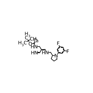 CC(C)(C)OC(=O)NC/C(C=N)=C/NCC1CCCN1c1cc(F)cc(F)c1